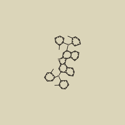 Cc1ccccc1N(c1ccccc1C)c1cc2sc3cc(N(c4ccccc4C)c4ccccc4C)c4ccccc4c3c2c2ccccc12